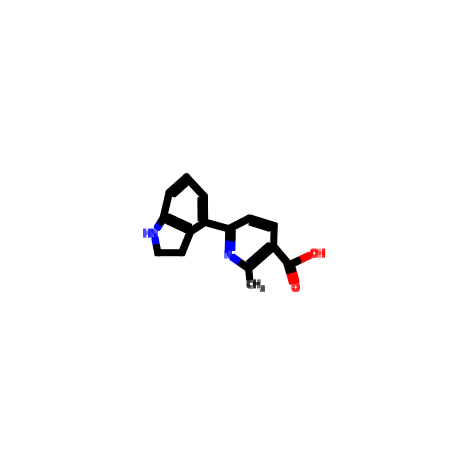 Cc1nc(-c2cccc3c2CCN3)ccc1C(=O)O